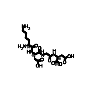 NCCCC[C@H](N)C(=O)N[C@@H](CC(=O)O)C(=O)NCC(=O)N[C@@H](CC(=O)O)C(=O)O